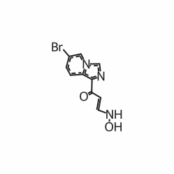 O=C(C=CNO)c1ncn2cc(Br)ccc12